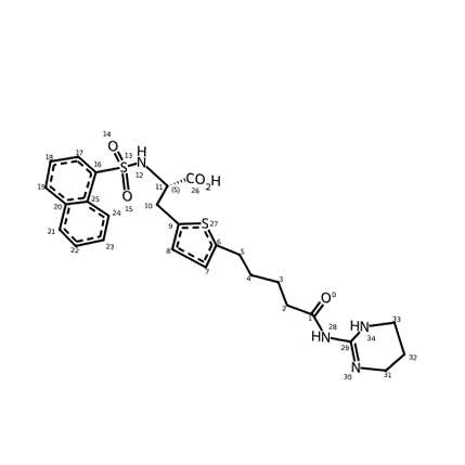 O=C(CCCCc1ccc(C[C@H](NS(=O)(=O)c2cccc3ccccc23)C(=O)O)s1)NC1=NCCCN1